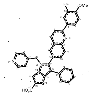 COc1ccc(-c2ccc3cc(-c4c(-c5ccccc5)c5sc(C(=O)O)cc5n4Cc4ccncc4)ccc3n2)cc1F